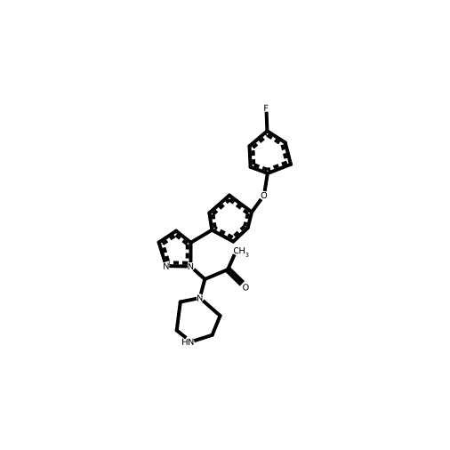 CC(=O)C(N1CCNCC1)n1nccc1-c1ccc(Oc2ccc(F)cc2)cc1